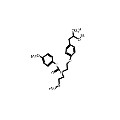 CCCCSCCN(CCOc1ccc(CC(OCC)C(=O)O)cc1)C(=O)Oc1ccc(OC)cc1